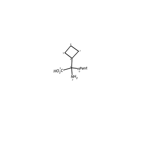 CCCCCC(N)(C(=O)O)C1CCC1